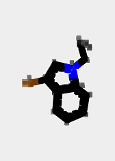 CCn1cc(S)c2ccccc21